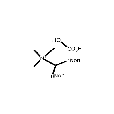 CCCCCCCCCC(CCCCCCCCC)[N+](C)(C)C.O=C(O)O